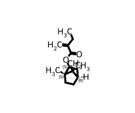 C=C(CC)C(=O)O[C@H]1C[C@H]2CC[C@@]1(C)C2(C)C